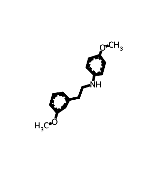 COc1ccc(NCCc2cccc(OC)c2)cc1